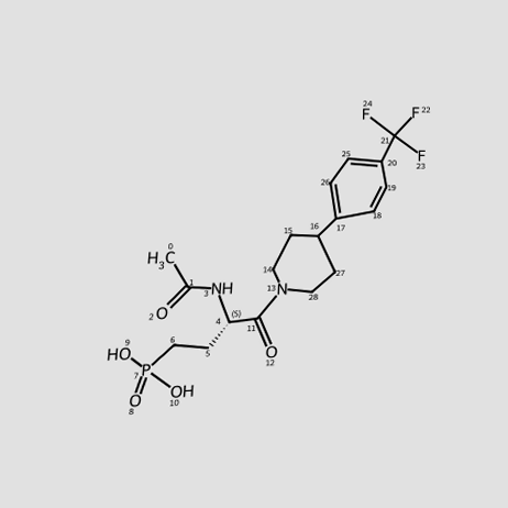 CC(=O)N[C@@H](CCP(=O)(O)O)C(=O)N1CCC(c2ccc(C(F)(F)F)cc2)CC1